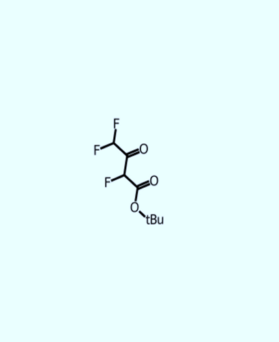 CC(C)(C)OC(=O)C(F)C(=O)C(F)F